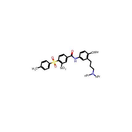 CCCN(CCC)CCCc1cc(NC(=O)c2ccc(S(=O)(=O)c3ccc(C)cc3)c([N+](=O)[O-])c2)ccc1OC